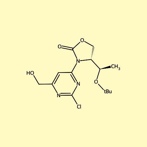 C[C@@H](OC(C)(C)C)[C@H]1COC(=O)N1c1cc(CO)nc(Cl)n1